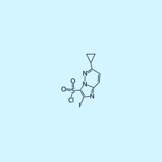 O=S(=O)(Cl)c1c(F)nc2ccc(C3CC3)nn12